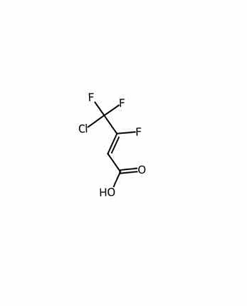 O=C(O)C=C(F)C(F)(F)Cl